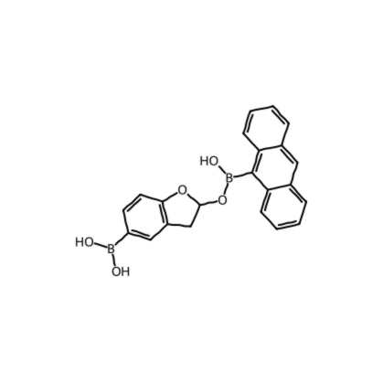 OB(O)c1ccc2c(c1)CC(OB(O)c1c3ccccc3cc3ccccc13)O2